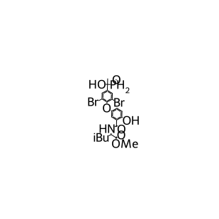 CCC(C)C(NC(=O)c1cc(Oc2c(Br)cc(C(C)(O)[PH2]=O)cc2Br)ccc1O)C(=O)OC